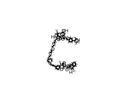 Cc1ncsc1-c1ccc(CNC(=O)[C@@H]2C[C@@H](O)CN2C(=O)[C@@H](NC(=O)CCOCCOCCOCCN2CCN(CC#Cc3ccc4c(c3)N(C)C(=O)[C@@H](NC(=O)C(=O)N[C@H](C)c3ccccc3)CO4)CC2)C(C)(C)C)cc1